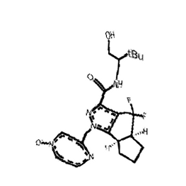 CC(C)(C)C(CO)NC(=O)c1nn(-c2c[n+]([O-])ccn2)c2c1C(F)(F)[C@H]1CCC[C@@H]21